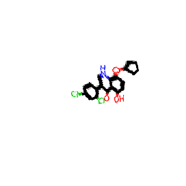 O=c1c(-c2ccc(Cl)cc2Cl)c[nH]c2c(OC3CCCC3)ccc(O)c12